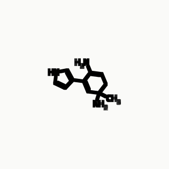 CC1(N)C=C(c2cc[nH]c2)C(N)=CC1